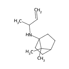 C=CC(C)NC12CCC(CC1)C2(C)C